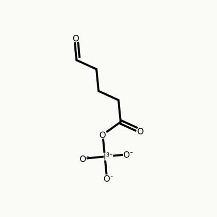 O=CCCCC(=O)O[I+3]([O-])([O-])[O-]